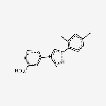 O=C(O)c1cccc(-n2cc(-c3ccc(F)cc3F)nn2)c1